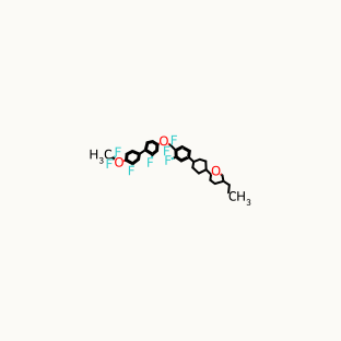 CCCC1CCC(C2CCC(c3ccc(C(F)(F)Oc4ccc(-c5ccc(OC(C)(F)F)c(F)c5)c(F)c4)c(F)c3)CC2)OC1